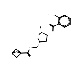 C[C@@H]1O[C@H](COC(=O)C23CC(C2)C3)C[C@H]1OC(=O)c1ccccc1C(=O)O